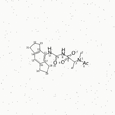 CC(=O)N(C)C(C)S(=O)(=O)NC(=O)Nc1c2c(cc3c1CCC3)CCC2